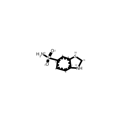 NS(=O)(=O)c1ccc2c(c1)SCN2